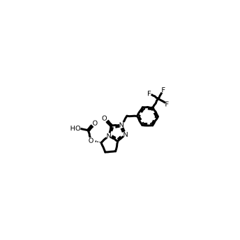 O=C(O)O[C@H]1CCc2nn(Cc3cccc(C(F)(F)F)c3)c(=O)n21